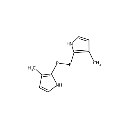 Cc1cc[nH]c1[P][P]c1[nH]ccc1C